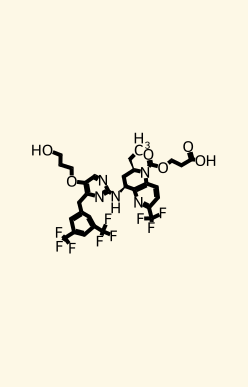 CC[C@@H]1C[C@H](Nc2ncc(OCCCO)c(Cc3cc(C(F)(F)F)cc(C(F)(F)F)c3)n2)c2nc(C(F)(F)F)ccc2N1C(=O)OCCC(=O)O